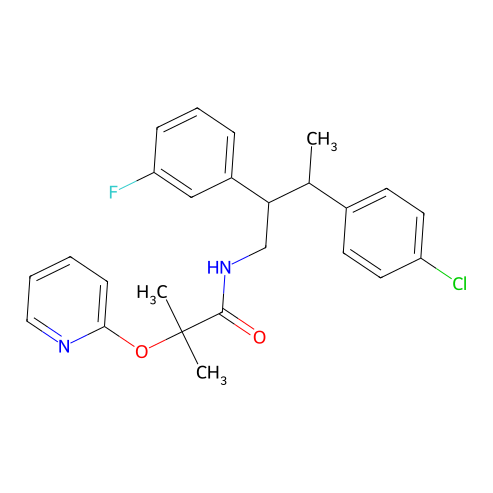 CC(c1ccc(Cl)cc1)C(CNC(=O)C(C)(C)Oc1ccccn1)c1cccc(F)c1